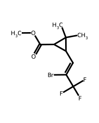 COC(=O)C1C(C=C(Br)C(F)(F)F)C1(C)C